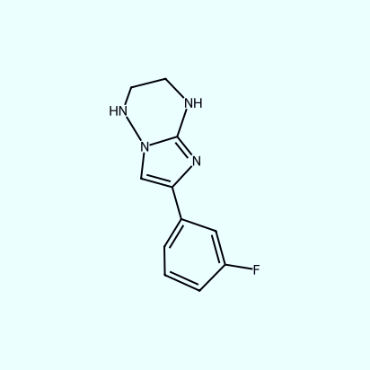 Fc1cccc(-c2cn3c(n2)NCCN3)c1